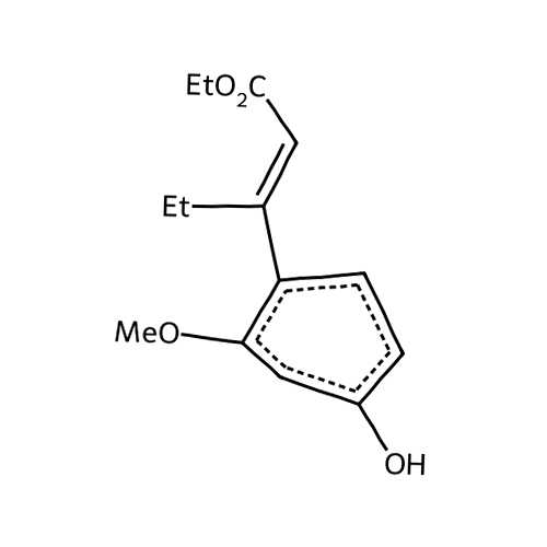 CCOC(=O)/C=C(\CC)c1ccc(O)cc1OC